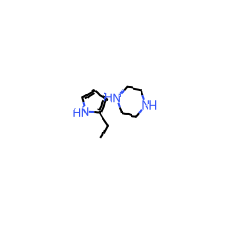 C1CNCCN1.CCc1ccc[nH]1